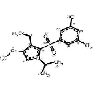 CCc1c(OC)nn(C(C)C)c1S(=O)(=O)c1cc(Cl)cc(Cl)c1